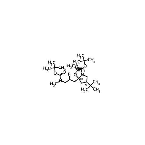 CN(CC(F)C[C@]1(O[SiH](C)C)C[C@H](C(C)(C)C)CN1C(=O)OC(C)(C)C)C(=O)OC(C)(C)C